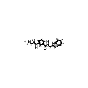 NCC(=O)Nc1cccc(C(=O)NCc2cn3ccccc3n2)c1